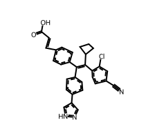 N#Cc1ccc(C(=C(c2ccc(C=CC(=O)O)cc2)c2ccc(-c3cn[nH]c3)cc2)C2CCC2)c(Cl)c1